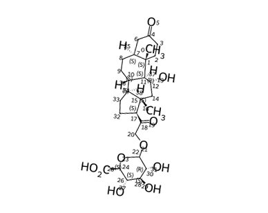 C[C@]12CCC(=O)C[C@@H]1CC[C@@H]1[C@@H]2[C@H](O)C[C@]2(C)[C@@H](C(=O)COC3O[C@H](C(=O)O)[C@@H](O)[C@H](O)[C@H]3O)CC[C@@H]12